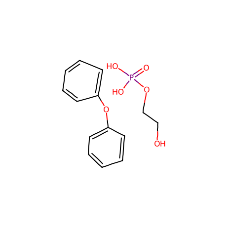 O=P(O)(O)OCCO.c1ccc(Oc2ccccc2)cc1